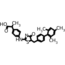 Cc1cc(C)c(-c2ccc(CC3SC(Nc4ccc(C(C)C(=O)O)cc4)=NC3=O)cc2)c(C)c1